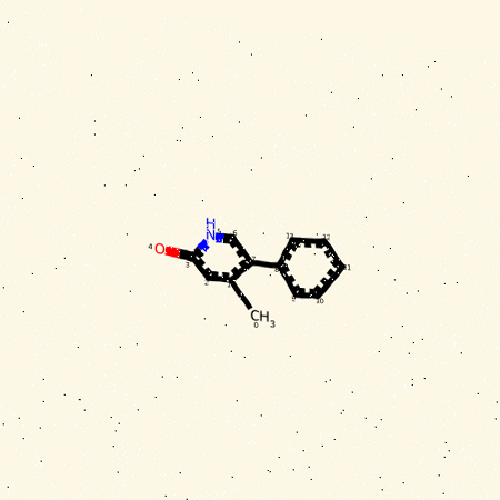 Cc1cc(=O)[nH]cc1-c1ccccc1